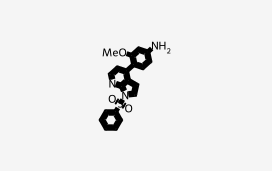 COc1cc(N)ccc1-c1ccnc2c1ccn2S(=O)(=O)c1ccccc1